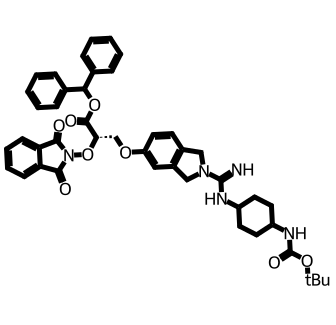 CC(C)(C)OC(=O)NC1CCC(NC(=N)N2Cc3ccc(OC[C@H](ON4C(=O)c5ccccc5C4=O)C(=O)OC(c4ccccc4)c4ccccc4)cc3C2)CC1